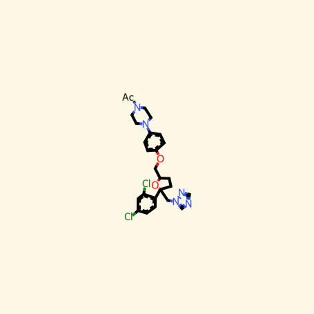 CC(=O)N1CCN(c2ccc(OCC3CCC(Cn4cncn4)(c4ccc(Cl)cc4Cl)O3)cc2)CC1